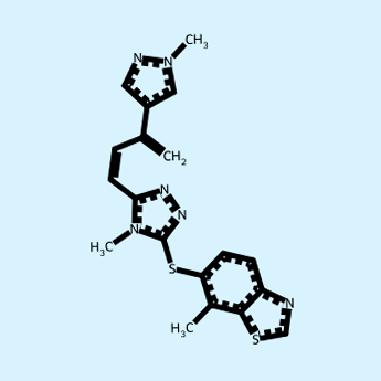 C=C(/C=C\c1nnc(Sc2ccc3ncsc3c2C)n1C)c1cnn(C)c1